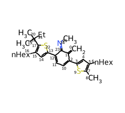 C=C1C(c2cc(CCCCCC)c(C)s2)=CC=C(c2cc(CCCCCC)c(C(C)(C)CC)s2)/C1=N/C